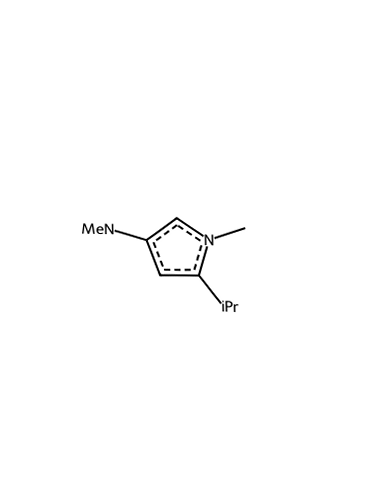 CNc1cc(C(C)C)n(C)c1